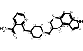 NC(=O)c1cccnc1CC1CCN(CC2COc3ccc4[nH]ccc4c3O2)CC1